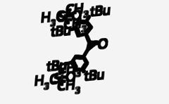 CC(C)(C)c1cc(-c2c(-c3cc(C(C)(C)C)c(O[Si](C)(C)C)c(C(C)(C)C)c3)c2=O)cc(C(C)(C)C)c1O[Si](C)(C)C